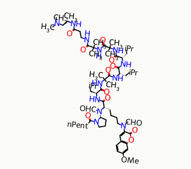 CCCCCC(=O)N1CCC[C@H]1N(C=O)[C@@H](CCCCN(C=O)c1cc2ccc(OC)cc2oc1=O)C(=O)N[C@@H](CC(C)C)C(=O)NC(C)(C)C(=O)N[C@@H](CC(C)C)C(=O)N[C@@H](CC(C)C)C(=O)NC(C)(C)C(=O)NC(C)(C)C(=O)NCCC(=O)N[C@@H](C)CN(C)C